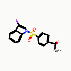 COC(=O)c1ccc(S(=O)(=O)n2cc(I)c3ccccc32)cc1